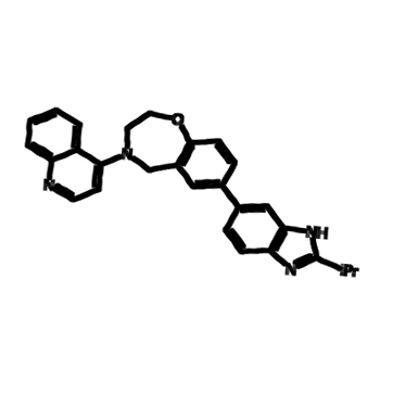 CC(C)c1nc2ccc(-c3ccc4c(c3)CN(c3ccnc5ccccc35)CCO4)cc2[nH]1